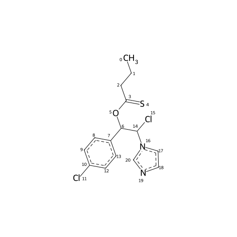 CCCC(=S)OC(c1ccc(Cl)cc1)C(Cl)n1ccnc1